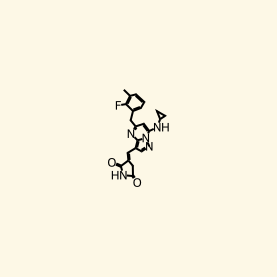 Cc1cccc(Cc2cc(NC3CC3)n3ncc(/C=C4\CC(=O)NC4=O)c3n2)c1F